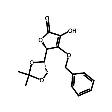 CC1(C)OC[C@@H]([C@H]2OC(=O)C(O)=C2OCc2ccccc2)O1